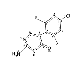 Cc1cc(Cl)cc(C)c1-n1cnc(N)nc1=O